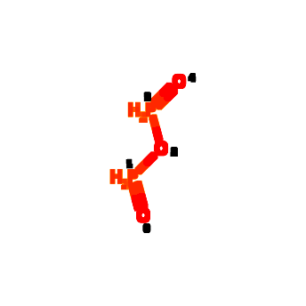 O=[PH2]O[PH2]=O